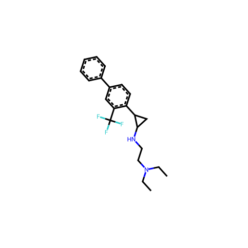 CCN(CC)CCNC1CC1c1ccc(-c2ccccc2)cc1C(F)(F)F